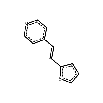 C(=Cc1cccs1)c1ccncc1